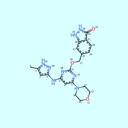 Cc1cc(Nc2cc(N3CCOCC3)nc(OCc3ccc4c(=O)[nH][nH]c4c3)n2)n[nH]1